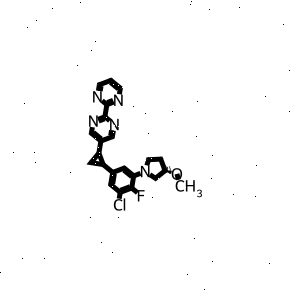 CO[C@@H]1CCN(c2cc(C3CC3c3cnc(-c4ncccn4)nc3)cc(Cl)c2F)C1